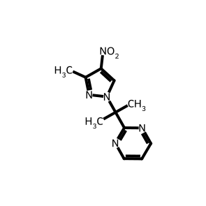 Cc1nn(C(C)(C)c2ncccn2)cc1[N+](=O)[O-]